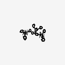 c1ccc(-c2cc(-c3ccccc3)cc(-n3c4cc(-c5cccc(-c6nc(-c7ccccc7)nc(-c7ccccc7)n6)c5)ccc4c4ccc(-c5nc(-c6ccccc6)nc(-c6ccccc6)n5)cc43)c2)cc1